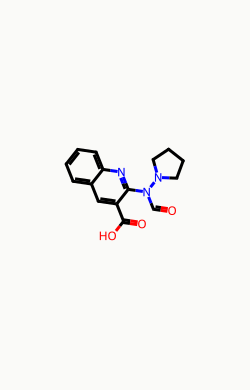 O=CN(c1nc2ccccc2cc1C(=O)O)N1CCCC1